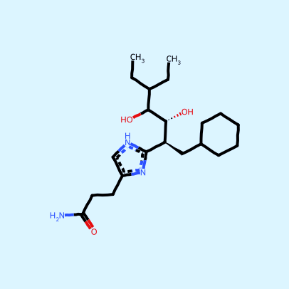 CCC(CC)C(O)[C@H](O)[C@@H](CC1CCCCC1)c1nc(CCC(N)=O)c[nH]1